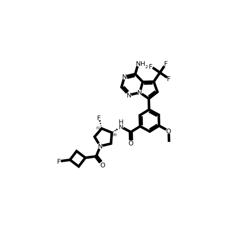 COc1cc(C(=O)N[C@@H]2CN(C(=O)C3CC(F)C3)C[C@@H]2F)cc(-c2cc(C(F)(F)F)c3c(N)ncnn23)c1